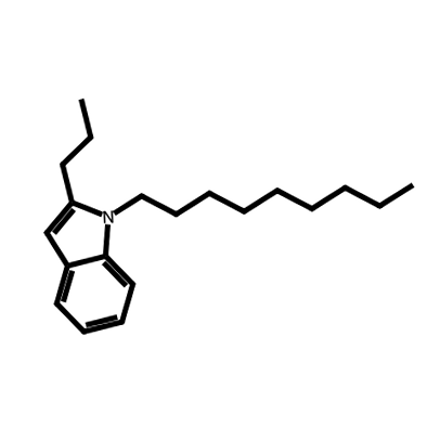 CCCCCCCCCn1c(CCC)cc2ccccc21